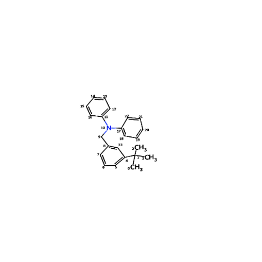 CC(C)(C)c1cccc(CN(c2ccccc2)c2ccccc2)c1